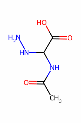 CC(=O)NC(NN)C(=O)O